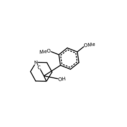 COc1ccc(C2(O)CN3CCC2CC3)c(OC)c1